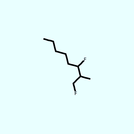 CCCCCC(F)C(C)CF